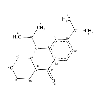 CC(C)Oc1cc(C(C)C)ccc1C(=O)N1CCOCC1